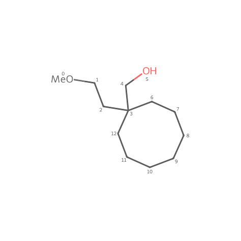 COCCC1(CO)CCCCCCC1